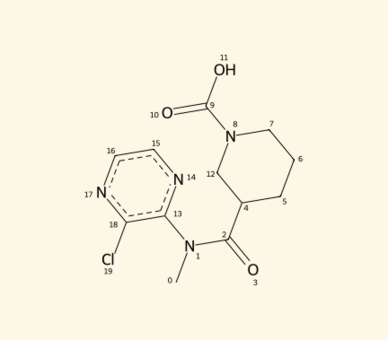 CN(C(=O)C1CCCN(C(=O)O)C1)c1nccnc1Cl